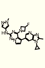 Cc1nc2ncc(-c3ccn4nc(Nc5cnn(C)c5)nc(N5CC(F)C5)c34)cc2n1C1CC1